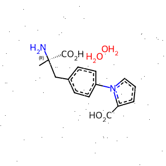 C[C@@](N)(Cc1ccc(-n2cccc2C(=O)O)cc1)C(=O)O.O.O